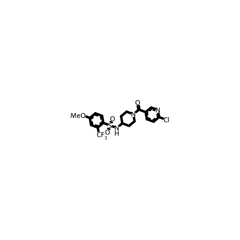 COc1ccc(S(=O)(=O)NC2CCN(C(=O)c3ccc(Cl)nc3)CC2)c(C(F)(F)F)c1